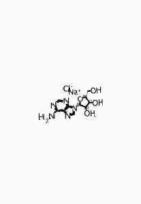 Nc1ncnc2c1ncn2[C@@H]1O[C@H](CO)[C@@H](O)[C@H]1O.[Cl-].[Na+]